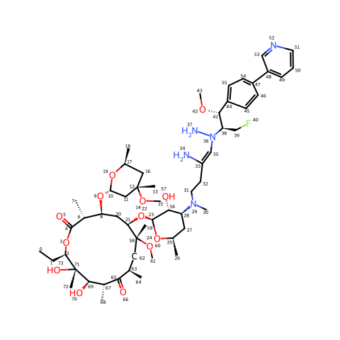 CC[C@H]1OC(=O)[C@H](C)[C@@H](O[C@H]2C[C@@](C)(OC)C[C@H](C)O2)C[C@@H](O[C@@H]2O[C@H](C)C[C@H](N(C)CC/C(N)=C/N(N)[C@H](CF)[C@H](OC)c3ccc(-c4cccnc4)cc3)[C@H]2O)[C@](C)(OC)C[C@@H](C)C(=O)[C@H](C)[C@@H](O)[C@]1(C)O